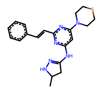 CC1CC(Nc2cc(N3CCSCC3)nc(/C=C/c3ccccc3)n2)=NN1